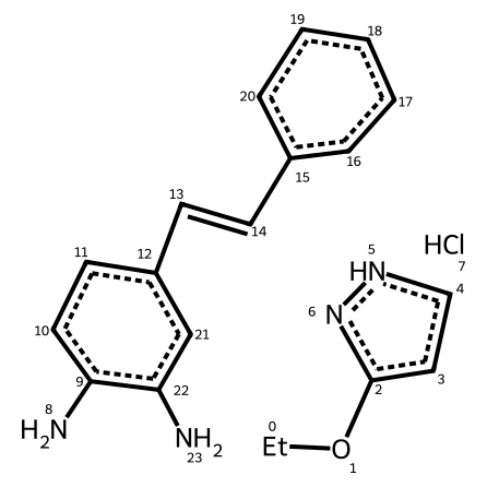 CCOc1cc[nH]n1.Cl.Nc1ccc(C=Cc2ccccc2)cc1N